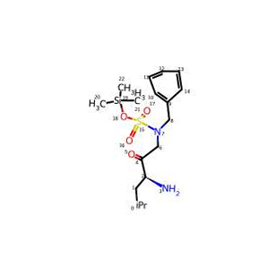 CC(C)C[C@H](N)C(=O)CN(Cc1ccccc1)S(=O)(=O)O[Si](C)(C)C